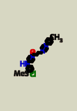 CSc1cc(NC2CCN(C(=O)CCCN3CCN(c4ccc(C)cc4)CC3)CC2)ccc1Cl